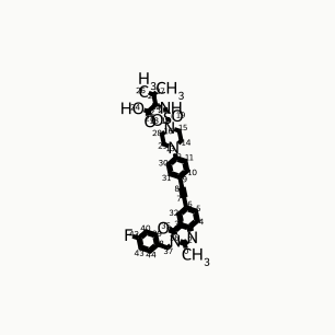 Cc1nc2ccc(C#Cc3ccc(N4CCN(S(=O)(=O)N[C@@H](C(=O)O)C(C)C)CC4)cc3)cc2c(=O)n1Cc1ccc(F)cc1